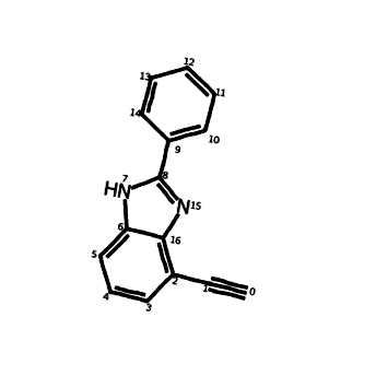 C#Cc1cccc2[nH]c(-c3ccccc3)nc12